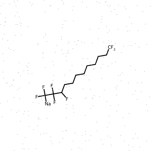 FC(CCCCCCCCC(F)(F)F)C(F)(F)[C](F)(F)[Na]